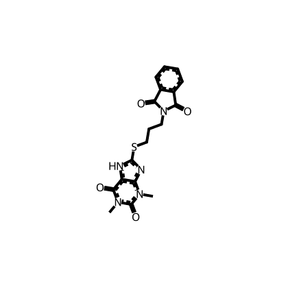 Cn1c(=O)c2[nH]c(SCCCN3C(=O)c4ccccc4C3=O)nc2n(C)c1=O